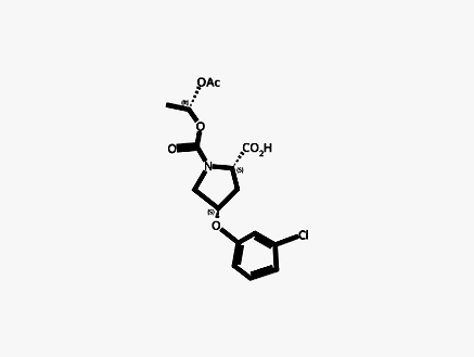 CC(=O)O[C@@H](C)OC(=O)N1C[C@@H](Oc2cccc(Cl)c2)C[C@H]1C(=O)O